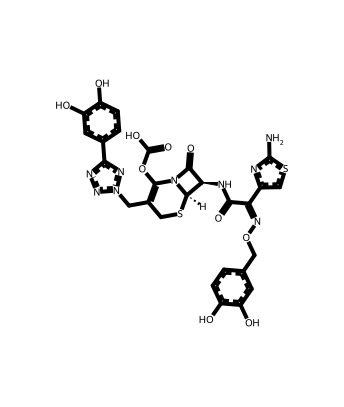 Nc1nc(/C(=N/OCc2ccc(O)c(O)c2)C(=O)N[C@@H]2C(=O)N3C(OC(=O)O)=C(Cn4nnc(-c5ccc(O)c(O)c5)n4)CS[C@H]23)cs1